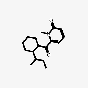 CCC(C)C1CCCCC1C(=O)c1cccc(=O)n1C